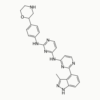 Cc1n[nH]c2cccc(-c3nccc(Nc4ccnc(Nc5ccc(C6CNCCO6)cc5)n4)n3)c12